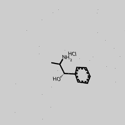 CC(N)[C@@H](O)c1ccccc1.Cl